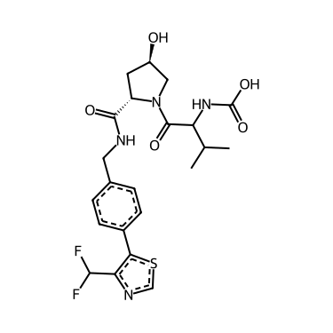 CC(C)C(NC(=O)O)C(=O)N1C[C@H](O)C[C@H]1C(=O)NCc1ccc(-c2scnc2C(F)F)cc1